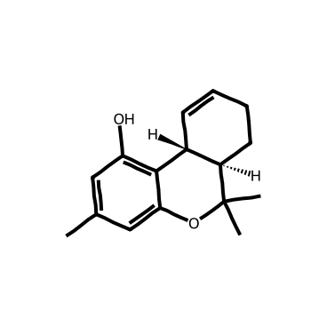 Cc1cc(O)c2c(c1)OC(C)(C)[C@@H]1CCC=C[C@@H]21